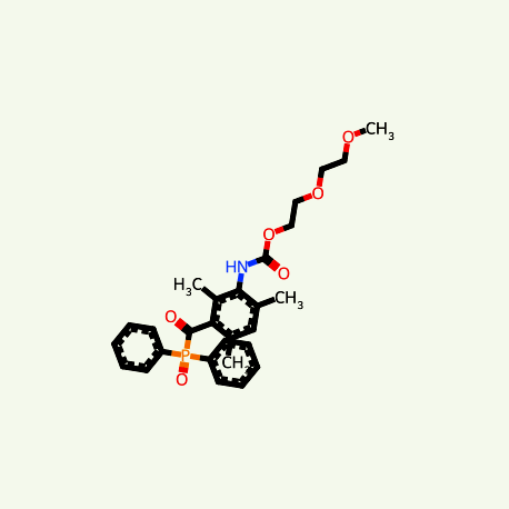 COCCOCCOC(=O)Nc1c(C)cc(C)c(C(=O)P(=O)(c2ccccc2)c2ccccc2)c1C